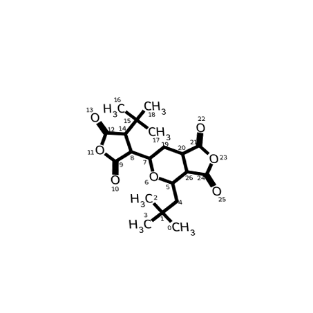 CC(C)(C)CC1OC(C2C(=O)OC(=O)C2C(C)(C)C)CC2C(=O)OC(=O)C12